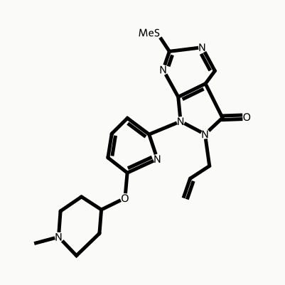 C=CCn1c(=O)c2cnc(SC)nc2n1-c1cccc(OC2CCN(C)CC2)n1